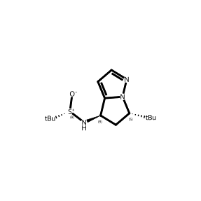 CC(C)(C)[C@@H]1C[C@@H](N[S@@+]([O-])C(C)(C)C)c2ccnn21